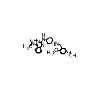 COc1ccc(OC)c(CNC[C@H]2CC[C@@H](Nc3nc(N(C)C)c4ccccc4n3)CC2)c1